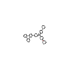 C1=CCCC(C2=CC=C(N(c3ccc(-c4ccc5c6ccccc6c6ccccc6c5c4)cc3)c3ccc(C4C=CC=CC4)cc3)CC2)=C1